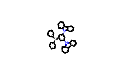 c1ccc([SiH](c2ccccc2)c2cc(-n3c4ccccc4c4ccccc43)cc(-n3c4ccccc4c4ccccc43)c2)cc1